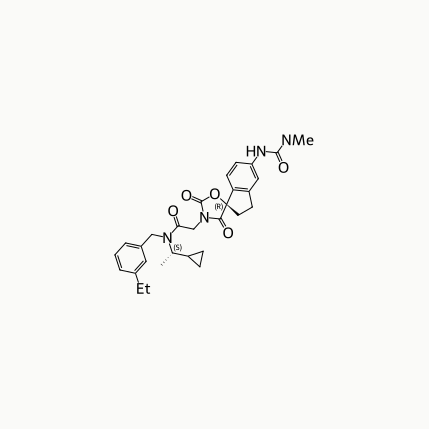 CCc1cccc(CN(C(=O)CN2C(=O)O[C@@]3(CCc4cc(NC(=O)NC)ccc43)C2=O)[C@@H](C)C2CC2)c1